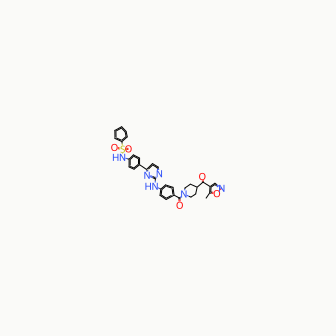 Cc1oncc1C(=O)C1CCN(C(=O)c2ccc(Nc3nccc(-c4ccc(NS(=O)(=O)c5ccccc5)cc4)n3)cc2)CC1